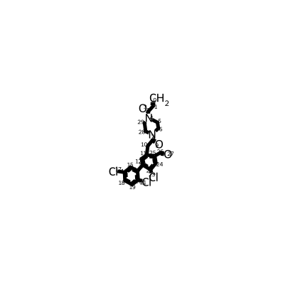 C=CC(=O)N1CCN(C(=O)Cc2cc(-c3cc(Cl)ccc3Cl)c(Cl)cc2C=O)CC1